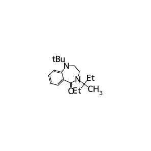 CCC(C)(CC)N1CCN(C(C)(C)C)c2ccccc2C1=O